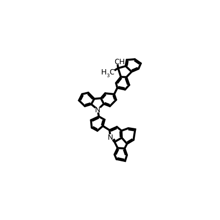 CC1(C)c2ccccc2-c2ccc(-c3ccc4c(c3)c3ccccc3n4-c3cccc(-c4cc5cccc6c5c(n4)-c4ccccc4-6)c3)cc21